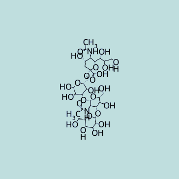 CC(=O)N[C@H]1[C@H](O[C@H]2[C@@H](O)[C@@H](CO[C@]3(C(=O)O)C[C@H](O)[C@@H](NC(C)=O)[C@H]([C@H](O)[C@H](O)CO)O3)OC(O)[C@@H]2O)O[C@H](CO)[C@@H](O)[C@@H]1O[C@@H]1O[C@H](CO)[C@H](O)[C@H](O)[C@H]1O